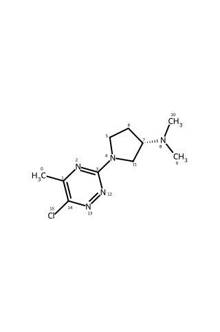 Cc1nc(N2CC[C@H](N(C)C)C2)nnc1Cl